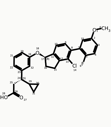 COc1ccc(F)c(-c2ccc3c(c2Cl)CC[C@H]3Oc2cccc([C@@H](CC(=O)O)C3CC3)c2)c1